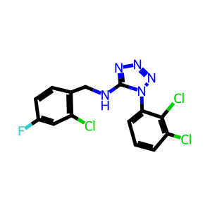 Fc1ccc(CNc2nnnn2-c2cccc(Cl)c2Cl)c(Cl)c1